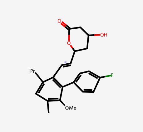 COc1c(C)cc(C(C)C)c(/C=C/C2CC(O)CC(=O)O2)c1-c1ccc(F)cc1